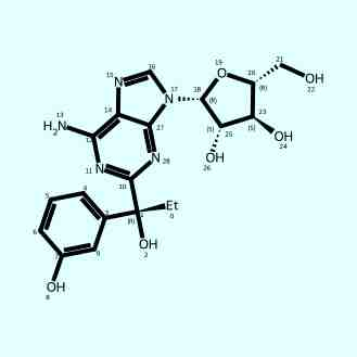 CC[C@@](O)(c1cccc(O)c1)c1nc(N)c2ncn([C@@H]3O[C@H](CO)[C@@H](O)[C@@H]3O)c2n1